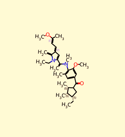 C=C(c1c/c(=C/C=C(\C)OC)c(=C)n1CC)N(C)c1c(C)cc(C(=O)C2C[C@H](CC)[C@H](C)[C@@H]2C)cc1OC